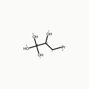 CC(C)CC(O)C(O)(O)O